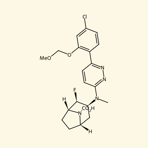 COCOc1cc(Cl)ccc1-c1ccc(N(C)[C@H]2C[C@@H]3CC[C@H]([C@H]2F)N3C(=O)O)nn1